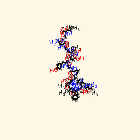 CCC(C)C(NC(=O)CNC(=O)C(CC(N)=O)NC(=O)CNC(=O)C(NC(=O)C(CC(=O)O)NC(=O)C(Cc1ccc(O)cc1)NC(=O)CNC(=O)C1CCCN1C(=O)C(Cc1c[nH]cn1)NC(=O)C(NC(=O)C(NC(=O)C(Cc1ccccc1)NC(=O)C1CCCN1C(=O)C(N)C(C)O)C(C)C)C(C)O)C(C)O)C(=O)O